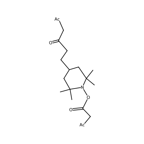 CC(=O)CC(=O)CCC1CC(C)(C)N(OC(=O)CC(C)=O)C(C)(C)C1